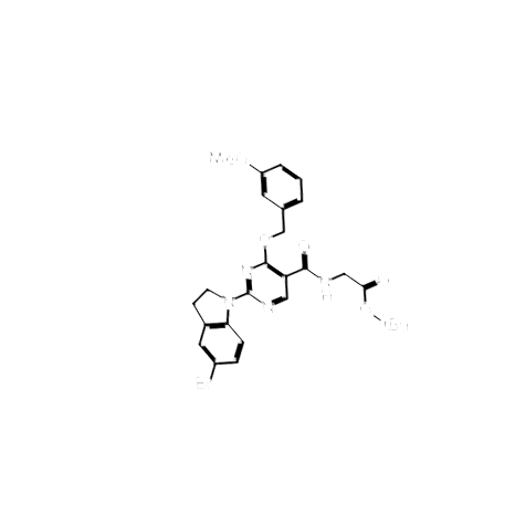 COc1cccc(COc2nc(N3CCc4cc(Br)ccc43)ncc2C(=O)NCC(=O)OC(C)(C)C)c1